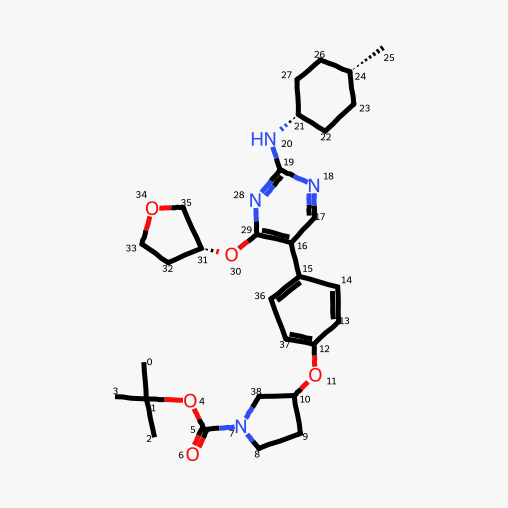 CC(C)(C)OC(=O)N1CCC(Oc2ccc(-c3cnc(N[C@H]4CC[C@@H](C)CC4)nc3O[C@@H]3CCOC3)cc2)C1